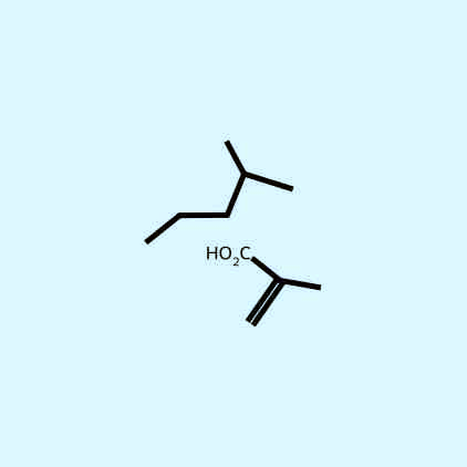 C=C(C)C(=O)O.CCCC(C)C